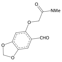 CNC(=O)COc1cc2c(cc1C=O)OCO2